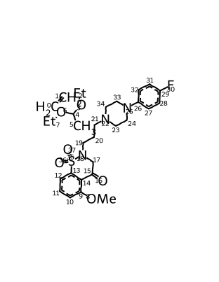 C=C.CCOC(C)OCC.COc1cccc2c1C(=O)CN(CCCN1CCN(c3ccc(F)cc3)CC1)S2(=O)=O